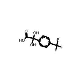 O=C(O)C(O)(O)c1ccc(C(F)(F)F)cc1